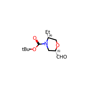 CC[C@@H]1CO[C@H](C=O)CN1C(=O)OC(C)(C)C